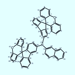 c1ccc2c(c1)Oc1ccccc1C21c2ccccc2-c2cc(N(c3ccc4c(c3)-c3ccccc3C43c4ccccc4Oc4ccccc43)c3ccc4ccccc4c3)ccc21